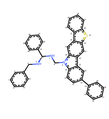 c1ccc(CN[C@H](NCn2c3ccc(-c4ccccc4)cc3c3cc4sc5ccccc5c4cc32)c2ccccc2)cc1